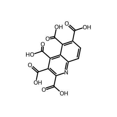 O=C(O)c1ccc2nc(C(=O)O)c(C(=O)O)c(C(=O)O)c2c1C(=O)O